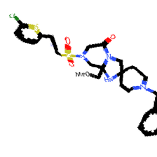 COCC12CN(S(=O)(=O)/C=C/c3ccc(Cl)s3)CC(=O)N1CC1(CCN(Cc3ccccc3)CC1)N2